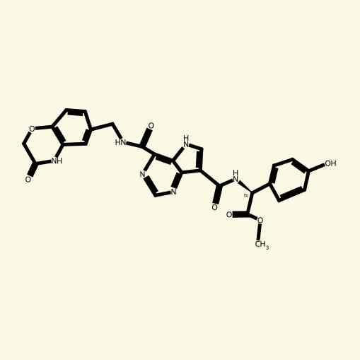 COC(=O)[C@@H](NC(=O)c1c[nH]c2c(C(=O)NCc3ccc4c(c3)NC(=O)CO4)ncnc12)c1ccc(O)cc1